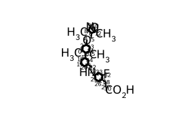 Cc1cc(OCc2c(C)noc2C)cc(C)c1-c1cccc(CNc2ccc(CCC(=O)O)c(F)c2)c1